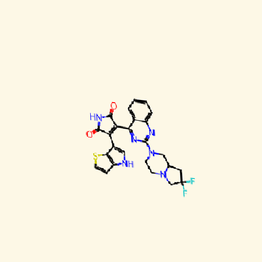 O=C1NC(=O)C(c2c[nH]c3ccsc23)=C1c1nc(N2CCN3CC(F)(F)CC3C2)nc2ccccc12